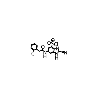 N#Cc1nc2c(S(=O)(=O)Cl)cc(NC(=O)Cc3ccccc3Cl)cc2[nH]1